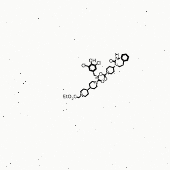 CCOC(=O)CN1CCC(C2CCN(C(=O)[C@@H](Cc3cc(Cl)c(O)c(Cl)c3)OC(=O)N3CCC(N4CCc5ccccc5NC4=O)CC3)CC2)CC1